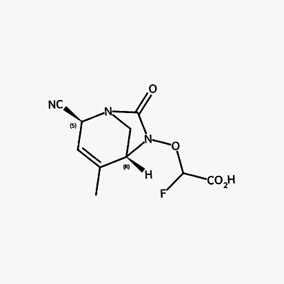 CC1=C[C@@H](C#N)N2C[C@@H]1N(OC(F)C(=O)O)C2=O